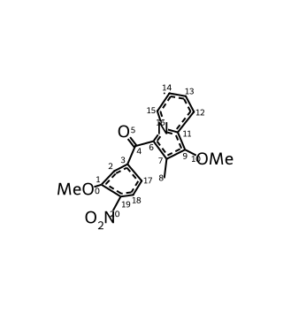 COc1cc(C(=O)c2c(C)c(OC)c3cc[c]cn23)ccc1[N+](=O)[O-]